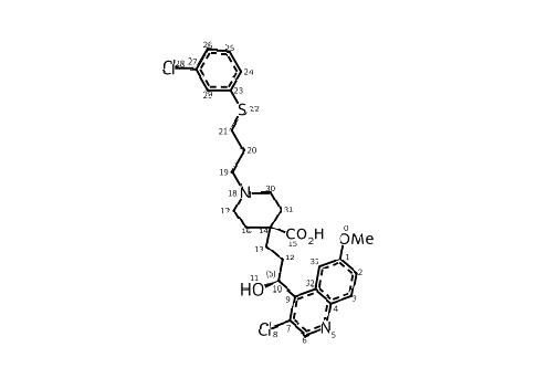 COc1ccc2ncc(Cl)c([C@@H](O)CCC3(C(=O)O)CCN(CCCSc4cccc(Cl)c4)CC3)c2c1